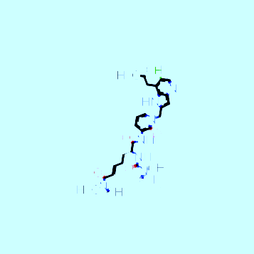 CC(C)Cc1c(F)cnc2cc(Cn3cccc(NC(=O)[C@H](CC/C=C/C(=O)N(C)C)NC(=O)N(C)C)c3=O)[nH]c12